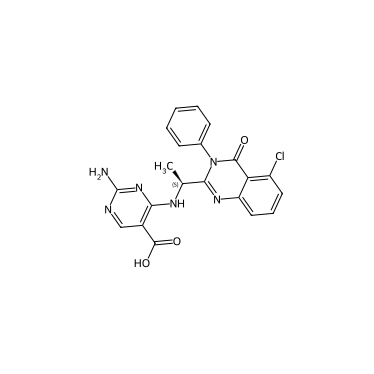 C[C@H](Nc1nc(N)ncc1C(=O)O)c1nc2cccc(Cl)c2c(=O)n1-c1ccccc1